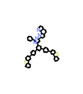 c1ccc(-c2nc(-c3cc(-c4ccc(-c5ccc6sc7ccccc7c6c5)cc4)cc(-c4ccc(-c5ccc6sc7ccccc7c6c5)cc4)c3)cc(-c3ccc4ccc5cccnc5c4n3)n2)cc1